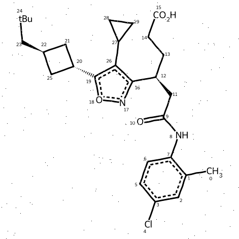 Cc1cc(Cl)ccc1NC(=O)C[C@H](CCC(=O)O)c1noc([C@H]2C[C@H](CC(C)(C)C)C2)c1C1CC1